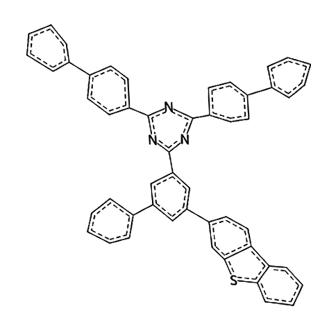 c1ccc(-c2ccc(-c3nc(-c4ccc(-c5ccccc5)cc4)nc(-c4cc(-c5ccccc5)cc(-c5ccc6c(c5)sc5ccccc56)c4)n3)cc2)cc1